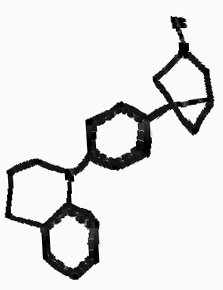 CCN1CC2CC2(c2ccc(N3CCCc4ccccc43)cc2)C1